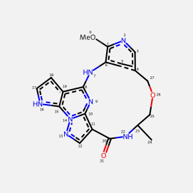 COc1ncc2cc1Nc1nc3c(cnn3c3[nH]ccc13)C(=O)NC(C)COC2